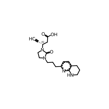 C#C[C@H](CC(=O)O)N1CCN(CCCc2ccc3c(n2)NCCC3)C1=O